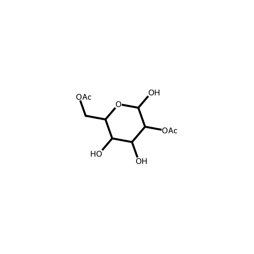 CC(=O)OCC1OC(O)C(OC(C)=O)C(O)C1O